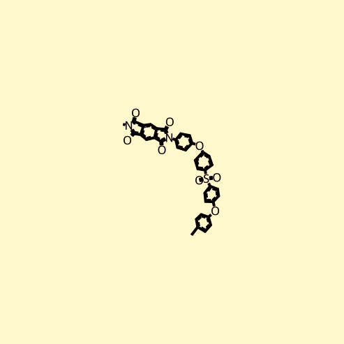 Cc1ccc(Oc2ccc(S(=O)(=O)c3ccc(Oc4ccc(-n5c(=O)c6cc7c(=O)n(C)c(=O)c7cc6c5=O)cc4)cc3)cc2)cc1